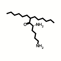 CCCCCCC(CCCCCC)C(=O)[C@H](N)CCCCN